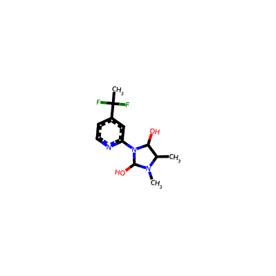 CC1C(O)N(c2cc(C(C)(F)F)ccn2)C(O)N1C